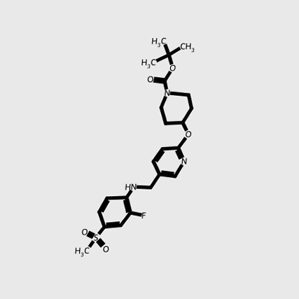 CC(C)(C)OC(=O)N1CCC(Oc2ccc(CNc3ccc(S(C)(=O)=O)cc3F)cn2)CC1